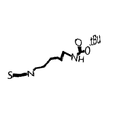 CC(C)(C)OC(=O)NCCCCCN=C=S